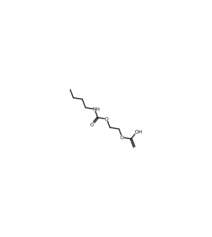 C=C(O)OCCOC(=O)NCCCC